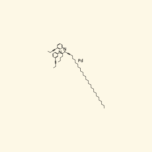 CCC#Cc1cccc(N=C(C#CCCCCCCCCCCCCCCCCCCCCCCCCCC)C(CCCC)=Nc2cccc(C#CCC)c2)c1.[Pd]